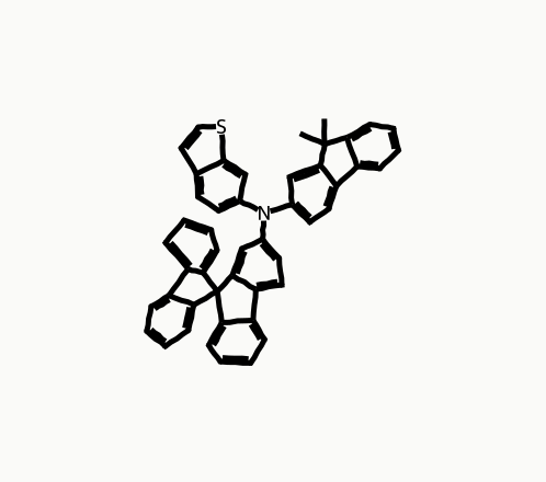 CC1(C)c2ccccc2-c2ccc(N(c3ccc4c(c3)C3(c5ccccc5-c5ccccc53)c3ccccc3-4)c3ccc4ccsc4c3)cc21